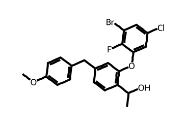 COc1ccc(Cc2ccc(C(C)O)c(Oc3cc(Cl)cc(Br)c3F)c2)cc1